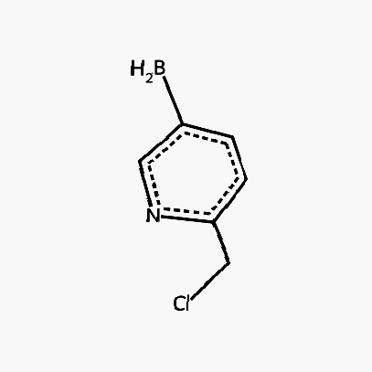 Bc1ccc(CCl)nc1